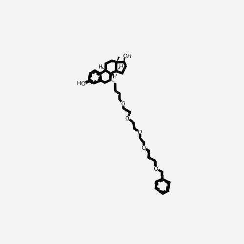 C[C@]12CC[C@@H]3c4ccc(O)cc4C[C@@H](CCCCOCCOCCOCCOCCCOCc4ccccc4)[C@H]3[C@@H]1CC[C@@H]2O